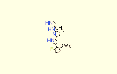 COc1cccc(F)c1C1=CNC(c2cccc(NC3(C)CCNC3)n2)C1